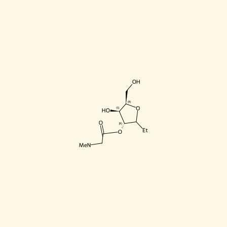 CCC1O[C@H](CO)[C@H](O)[C@H]1OC(=O)CNC